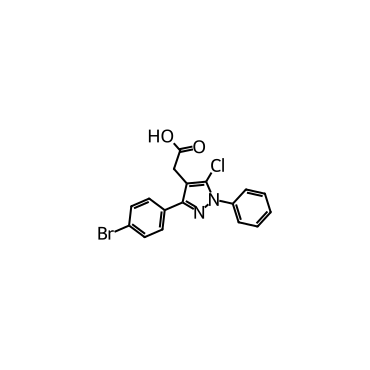 O=C(O)Cc1c(-c2ccc(Br)cc2)nn(-c2ccccc2)c1Cl